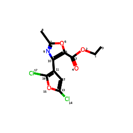 CCOC(=O)c1oc(C)nc1-c1cc(Cl)oc1Cl